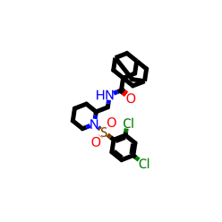 O=C(NCC1CCCCN1S(=O)(=O)c1ccc(Cl)cc1Cl)C12CC3CC(CC(C3)C1)C2